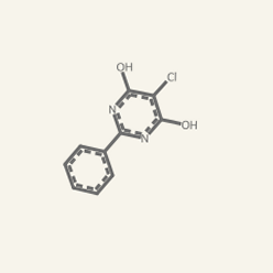 Oc1nc(-c2ccccc2)nc(O)c1Cl